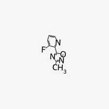 Cc1noc(-c2ncccc2F)n1